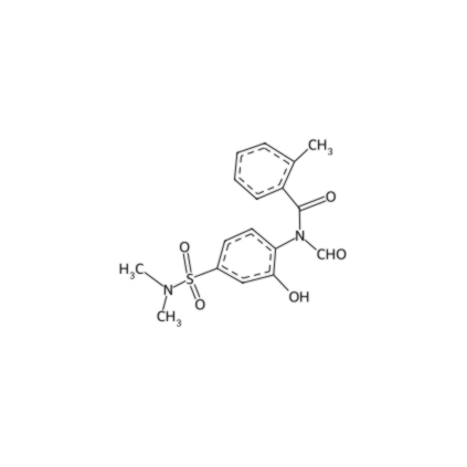 Cc1ccccc1C(=O)N(C=O)c1ccc(S(=O)(=O)N(C)C)cc1O